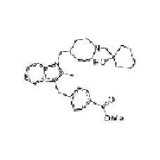 COC(=O)c1ccc(Cc2c(C)n(CC3CCN(CC4(O)CCCCC4)CC3)c3ccccc23)cc1